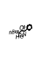 CCCCC(CC)C(O)C(=NO)c1ccccc1